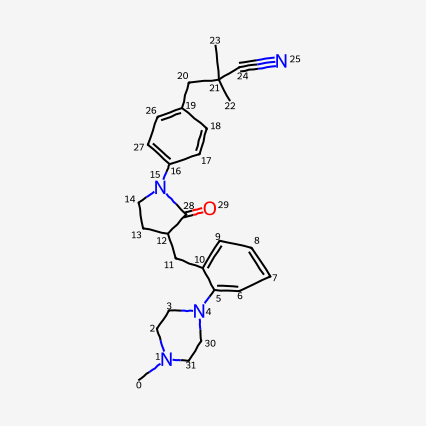 CN1CCN(c2ccccc2CC2CCN(c3ccc(CC(C)(C)C#N)cc3)C2=O)CC1